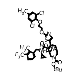 Cc1cc(Cl)c(OCCOc2ncc(C3=C(C(=O)N(Cc4cccc(C(F)(F)F)c4C)C4CC4)[C@H]4CN(C(=O)OC(C)(C)C)CC(C3)N4C(=O)O)s2)c(Cl)c1